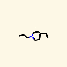 C=CC[n+]1ccc(C=C)cc1.[I-]